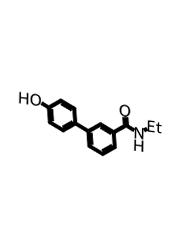 CCNC(=O)c1cccc(-c2ccc(O)cc2)c1